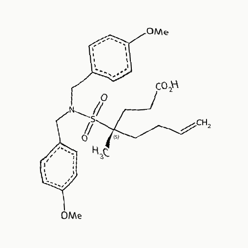 C=CCC[C@@](C)(CCC(=O)O)S(=O)(=O)N(Cc1ccc(OC)cc1)Cc1ccc(OC)cc1